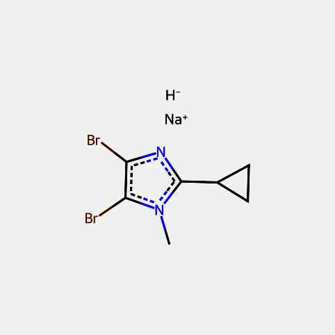 Cn1c(C2CC2)nc(Br)c1Br.[H-].[Na+]